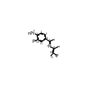 CCCc1ccc(/C(C)=N/C(C)=C(\C)F)cc1F